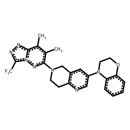 Cc1c(N2CCc3ncc(N4CCOc5ccccc54)cc3C2)nn2c(C(F)(F)F)nnc2c1C